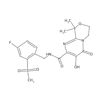 CC1(C)OCCn2c1nc(C(=O)NCc1ccc(F)cc1S(C)(=O)=O)c(O)c2=O